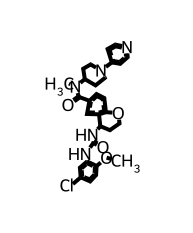 COc1ccc(Cl)cc1NC(=O)NC1CCOc2ccc(C(=O)N(C)C3CCN(c4ccncc4)CC3)cc21